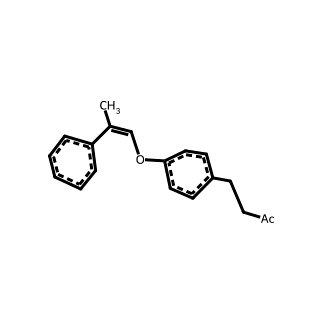 CC(=O)CCc1ccc(OC=C(C)c2ccccc2)cc1